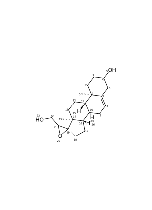 C[C@]12CCC(O)CC1=CC[C@@H]1[C@@H]2CC[C@@]2(C)[C@H]1CC[C@@]21OC1CO